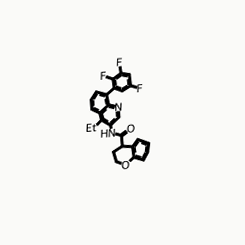 CCc1c(NC(=O)C2CCOc3ccccc32)cnc2c(-c3cc(F)cc(F)c3F)cccc12